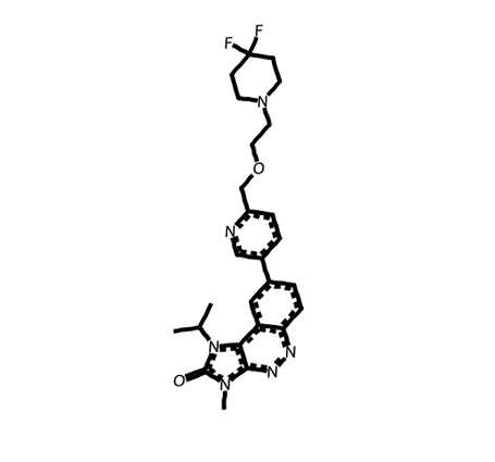 CC(C)n1c(=O)n(C)c2nnc3ccc(-c4ccc(COCCN5CCC(F)(F)CC5)nc4)cc3c21